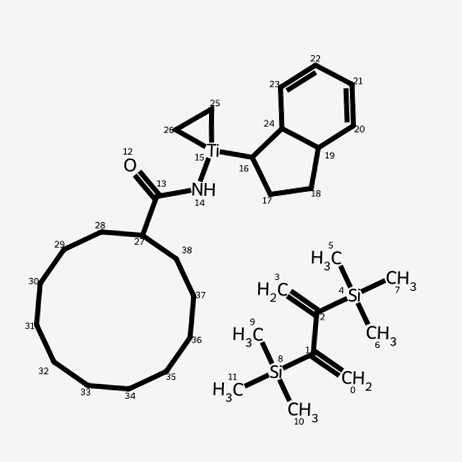 C=C(C(=C)[Si](C)(C)C)[Si](C)(C)C.O=C([NH][Ti]1([CH]2CCC3C=CC=CC32)[CH2][CH2]1)C1CCCCCCCCCCC1